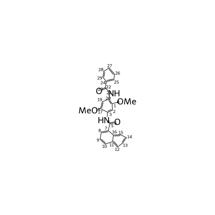 COc1cc(NC(=O)c2cccc3ccccc23)c(OC)cc1NC(=O)c1ccccc1